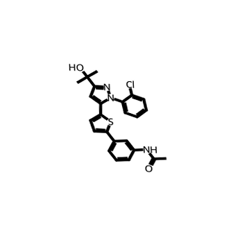 CC(=O)Nc1cccc(-c2ccc(-c3cc(C(C)(C)O)nn3-c3ccccc3Cl)s2)c1